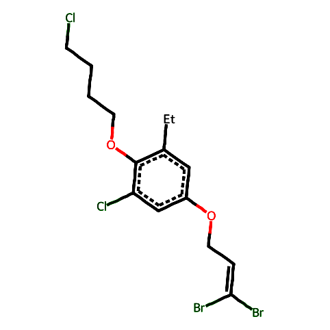 CCc1cc(OCC=C(Br)Br)cc(Cl)c1OCCCCCl